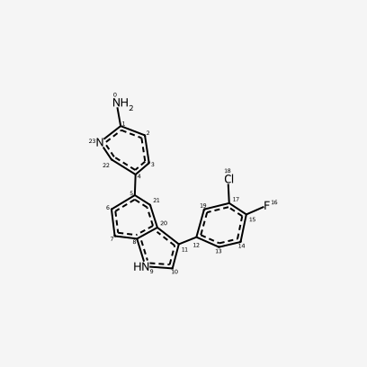 Nc1ccc(-c2ccc3[nH]cc(-c4ccc(F)c(Cl)c4)c3c2)cn1